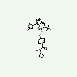 Cc1cc(-c2nnc3cc(C(C)(C)C)c(OCc4ccc(C(=O)NC5CCC5)cn4)nn23)no1